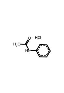 CC(=O)Nc1ccccc1.Cl